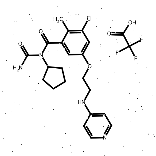 Cc1c(Cl)cc(OCCNc2ccncc2)cc1C(=O)N(C(N)=O)C1CCCC1.O=C(O)C(F)(F)F